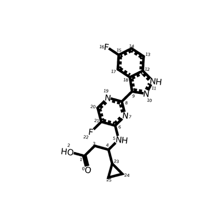 O=C(O)CC(Nc1nc(-c2n[nH]c3ccc(F)cc23)ncc1F)C1CC1